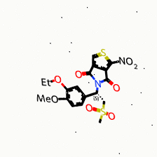 CCOc1cc([C@@H](CS(C)(=O)=O)N2C(=O)c3csc([N+](=O)[O-])c3C2=O)ccc1OC